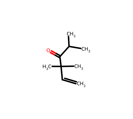 C=CC(C)(C)C(=O)C(C)C